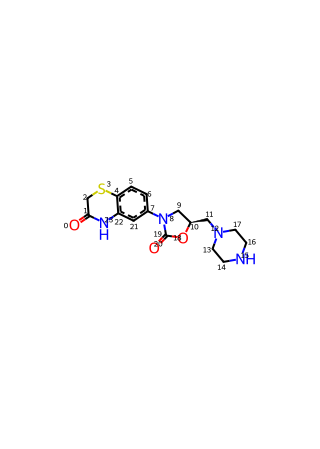 O=C1CSc2ccc(N3C[C@@H](CN4CCNCC4)OC3=O)cc2N1